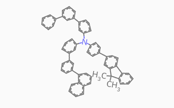 CC1(C)c2ccccc2-c2ccc(-c3ccc(N(c4cccc(-c5cccc(-c6ccccc6)c5)c4)c4cccc(-c5cccc(-c6cccc7ccccc67)c5)c4)cc3)cc21